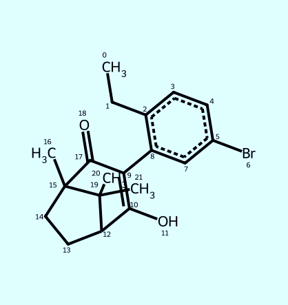 CCc1ccc(Br)cc1C1=C(O)C2CCC(C)(C1=O)C2(C)C